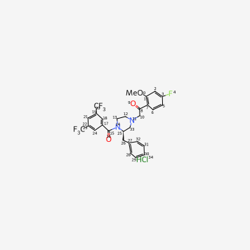 COc1cc(F)ccc1C(=O)CN1CCN(C(=O)c2cc(C(F)(F)F)cc(C(F)(F)F)c2)[C@H](Cc2ccccc2)C1.Cl